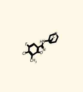 Cc1c(Cl)c(F)cc2c(NC3CN4CCC3CC4)noc12